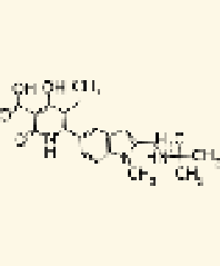 CCc1c(-c2ccc3c(c2)cc(CNC(C)(C)C)n3C)[nH]c(=O)c(C(=O)O)c1O